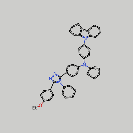 CCOc1ccc(-c2nnc(-c3ccc(N(c4ccccc4)c4ccc(-n5c6ccccc6c6ccccc65)cc4)cc3)n2-c2ccccc2)cc1